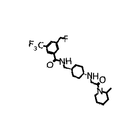 CC1CCCCN1C(=O)CN[C@H]1CC[C@H](CNC(=O)c2cc(CF)cc(C(F)(F)F)c2)CC1